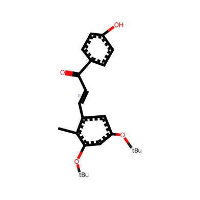 Cc1c(/C=C/C(=O)c2ccc(O)cc2)cc(OC(C)(C)C)cc1OC(C)(C)C